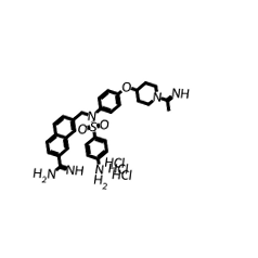 CC(=N)N1CCC(Oc2ccc(N(Cc3ccc4ccc(C(=N)N)cc4c3)S(=O)(=O)c3ccc(N)cc3)cc2)CC1.Cl.Cl.Cl